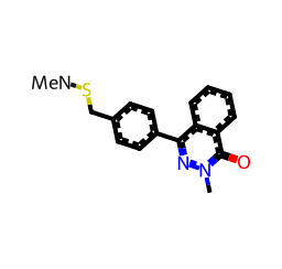 CNSCc1ccc(-c2nn(C)c(=O)c3ccccc23)cc1